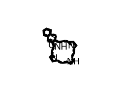 O=C1SC2c3ccccc3C1c1c2c2cc3nc(cc4ccc(cc5nc(cc1[nH]2)C=C5)[nH]4)C=C3